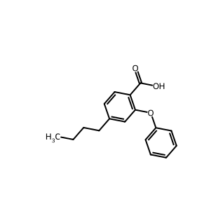 CCCCc1ccc(C(=O)O)c(Oc2ccccc2)c1